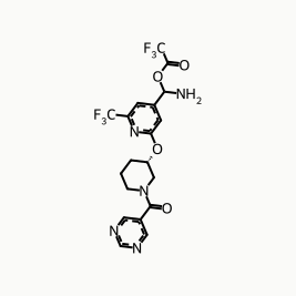 NC(OC(=O)C(F)(F)F)c1cc(O[C@H]2CCCN(C(=O)c3cncnc3)C2)nc(C(F)(F)F)c1